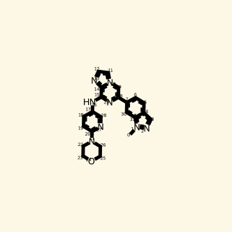 Cn1ncc2ccc(-c3cn4ccnc4c(Nc4ccc(N5CCOCC5)nc4)n3)cc21